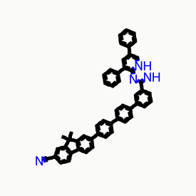 CC1(C)c2cc(C#N)ccc2-c2ccc(-c3ccc(-c4ccc(-c5cccc(C(=N)/N=c6\[nH]cc(-c7ccccc7)cc6-c6ccccc6)c5)cc4)cc3)cc21